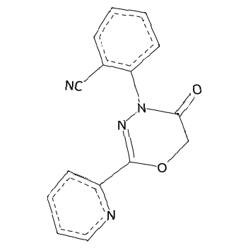 N#Cc1ccccc1N1N=C(c2ccccn2)OCC1=O